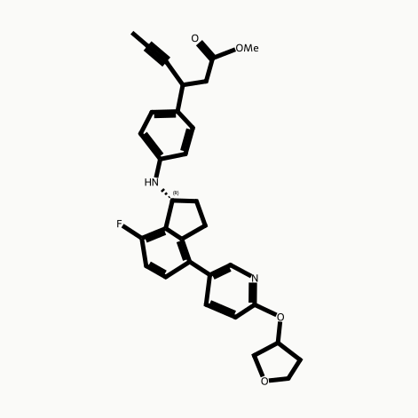 CC#CC(CC(=O)OC)c1ccc(N[C@@H]2CCc3c(-c4ccc(OC5CCOC5)nc4)ccc(F)c32)cc1